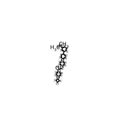 CN(C)c1cccc(-c2ccc(N3CCN(CC(=O)N4CCN(C5CCC5)CC4)CC3)cc2)c1